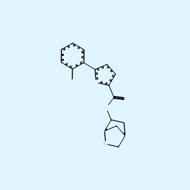 CC(=O)Nc1ccccc1-c1ccc(C(=O)NC2CC3CNC2C3)s1